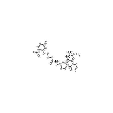 CC(C)(C)OC(=O)c1ccccc1-c1ccc(CNC(=O)CCCCc2cc(Cl)ccc2[N+](=O)[O-])cc1